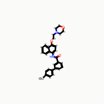 CC(C)(C)c1ccc(-c2cccc(C(=O)Nc3ccc(OCCN4CCOCC4)c4ccccc34)c2)cc1